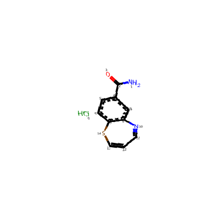 Cl.NC(=O)c1ccc2c(c1)N=CC=CS2